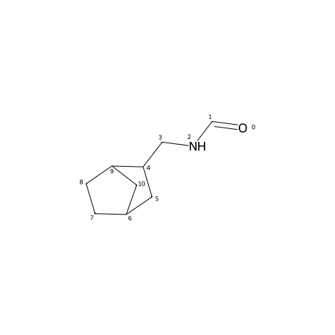 O=CNCC1CC2CCC1C2